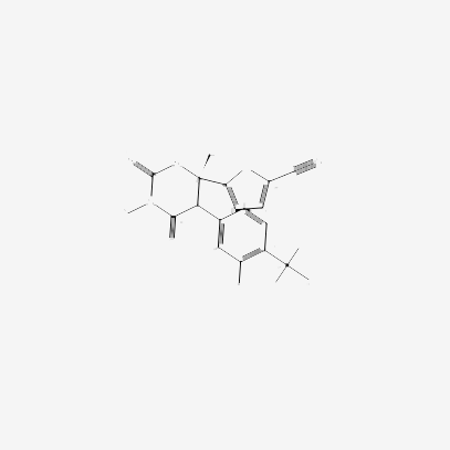 CN1C(=N)N[C@](C)(c2ccc(C#N)s2)C(c2ccc(C(C)(F)F)c(F)c2)C1=O